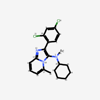 CC(=O)N(c1c(-c2ccc(Cl)cc2Cl)nc2cccc(C)n12)C1CCCCC1